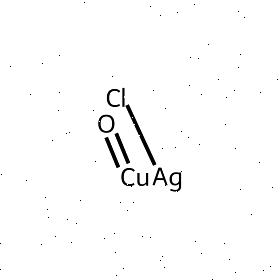 [Cl][Ag].[O]=[Cu]